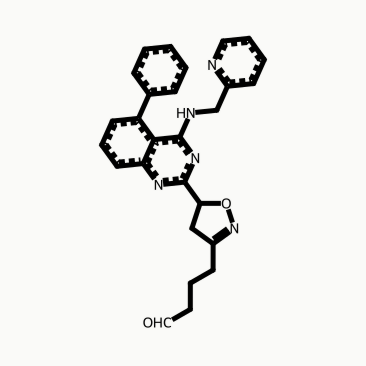 O=CCCCC1=NOC(c2nc(NCc3ccccn3)c3c(-c4ccccc4)cccc3n2)C1